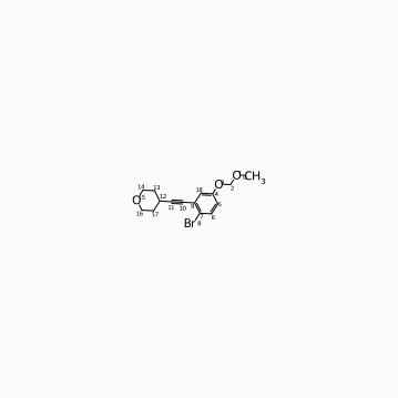 COCOc1ccc(Br)c(C#CC2CCOCC2)c1